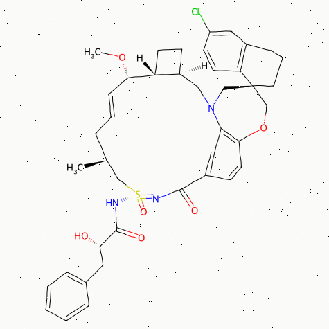 CO[C@H]1/C=C/C[C@H](C)C[S@@](=O)(NC(=O)[C@@H](O)Cc2ccccc2)=NC(=O)c2ccc3c(c2)N(C[C@@H]2CC[C@H]21)C[C@@]1(CCCc2cc(Cl)ccc21)CO3